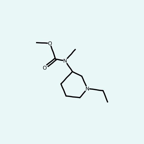 CCN1CCCC(N(C)C(=O)OC)C1